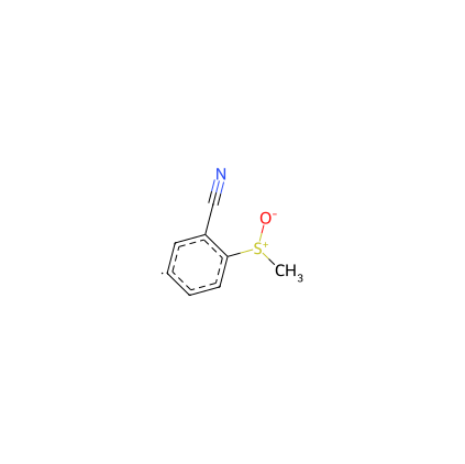 C[S+]([O-])c1cc[c]cc1C#N